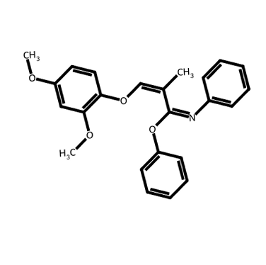 COc1ccc(OC=C(C)/C(=N\c2ccccc2)Oc2ccccc2)c(OC)c1